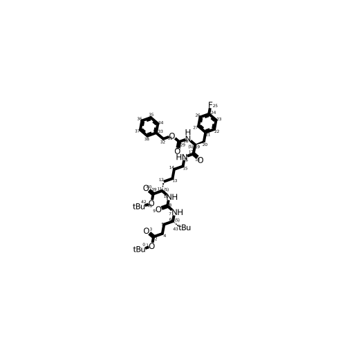 CC(C)(C)OC(=O)CC[C@H](NC(=O)N[C@@H](CCCCNC(=O)[C@H](Cc1ccc(F)cc1)NC(=O)OCc1ccccc1)C(=O)OC(C)(C)C)C(C)(C)C